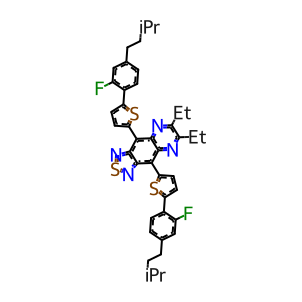 CCc1nc2c(-c3ccc(-c4ccc(CCC(C)C)cc4F)s3)c3nsnc3c(-c3ccc(-c4ccc(CCC(C)C)cc4F)s3)c2nc1CC